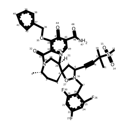 C[C@H]1CC[C@]2(CC(C#CC(C)(C)S(C)(=O)=O)N(Cc3c(F)cc(F)cc3F)O2)[C@H]2CN1C(=O)c1c(OCc3ccccc3)c(=O)c(C(N)=O)cn12